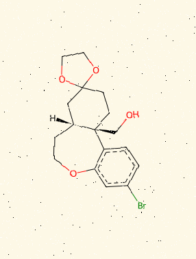 OC[C@]12CCC3(C[C@H]1CCOc1cc(Br)ccc12)OCCO3